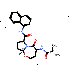 CN[C@@H](C)C(=O)NC1CCO[C@H]2CCC(C(=O)Nc3cccc4ccccc34)N2C1=O